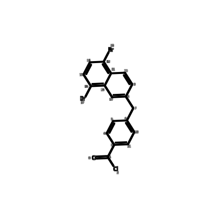 O=C(Cl)c1ccc(Cc2ccc3c(Br)ccc(Br)c3c2)cc1